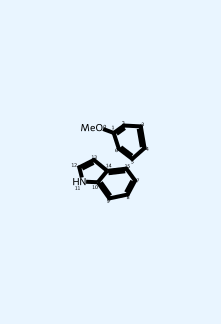 COc1ccccc1.c1ccc2[nH]ccc2c1